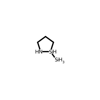 [SiH3][SiH]1CCCN1